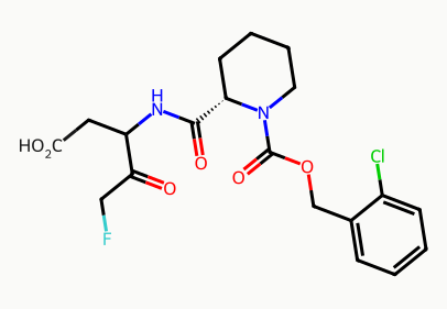 O=C(O)CC(NC(=O)[C@@H]1CCCCN1C(=O)OCc1ccccc1Cl)C(=O)CF